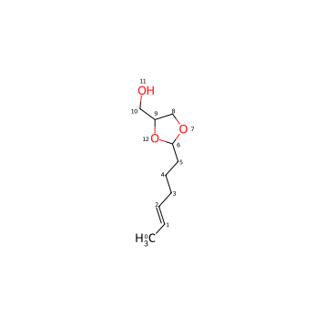 C/C=C/CCCC1OCC(CO)O1